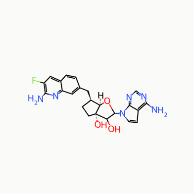 Nc1nc2cc(C[C@@H]3CC[C@]4(O)C(O)[C@H](n5ccc6c(N)ncnc65)O[C@H]34)ccc2cc1F